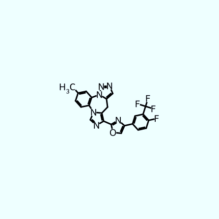 Cc1ccc2c(c1)-n1nncc1Cc1c(-c3nc(-c4ccc(F)c(C(F)(F)F)c4)co3)ncn1-2